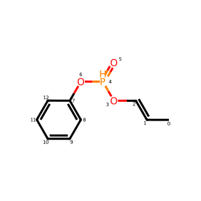 CC=CO[PH](=O)Oc1ccccc1